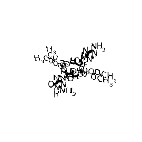 CC(C)OC(=O)OCOP1(=O)OC[C@H]2O[C@@H](n3cnc4c(=O)[nH]c(N)nc43)[C@@H](OP(=O)(OCOC(=O)OC(C)C)OC[C@H]3O[C@@H](n4cnc5c(N)ncnc54)[C@@H](F)C3O1)C2O